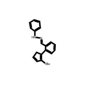 CC(C)(C)C1=C(c2ccccc2/C=N/Nc2ccccc2)CC=C1